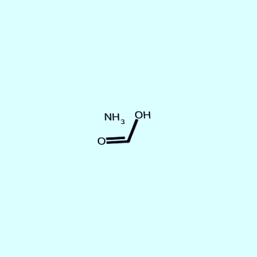 N.O=CO